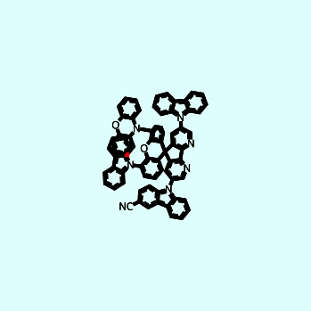 N#Cc1ccc2c(c1)c1ccccc1n2-c1cnc2c(c1)C1(c3cc(-n4c5ccccc5c5ccccc54)cnc3-2)c2cccc(N3c4ccccc4Oc4ccccc43)c2Oc2c(-n3c4ccccc4c4ccccc43)cccc21